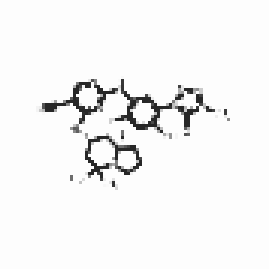 Cn1nnn(-c2cc(Nc3ncc(C#N)c(N[C@@H]4C[C@H]5CCCN5C(C)(C)C4)n3)c(F)cc2O)c1=O